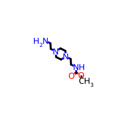 COC(=O)NCCN1CCN(CCN)CC1